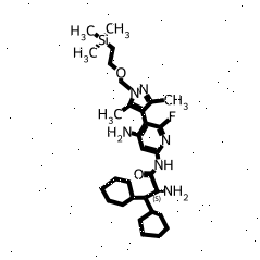 Cc1nn(COCC[Si](C)(C)C)c(C)c1-c1c(N)cc(NC(=O)[C@@H](N)C(C2CCCCC2)C2CCCCC2)nc1F